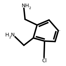 NCc1c[c]cc(Cl)c1CN